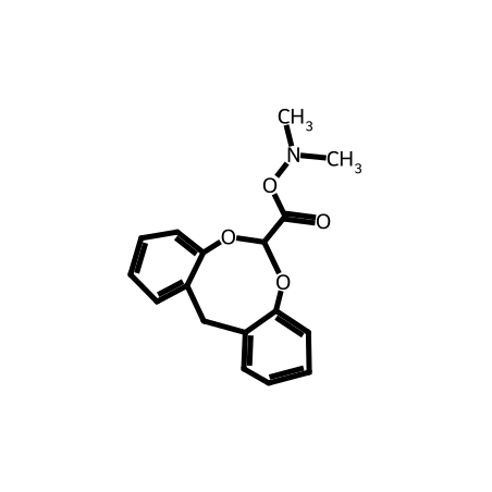 CN(C)OC(=O)C1Oc2ccccc2Cc2ccccc2O1